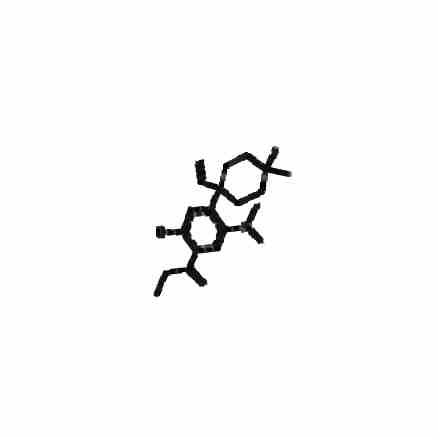 C=CC1(c2cc(Cl)c(C(=C)CC)cc2N(C)C)CCC(C)(C)CC1